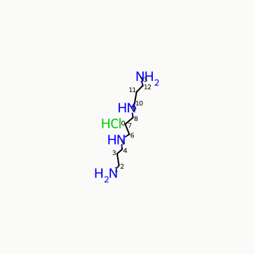 Cl.NCCCNCCCNCCCN